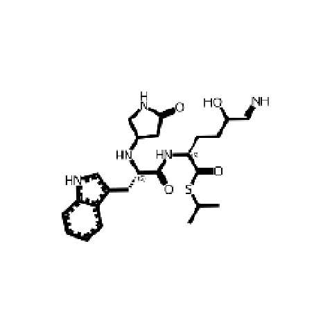 CC(C)SC(=O)[C@H](CCC(O)C=N)NC(=O)[C@H](Cc1c[nH]c2ccccc12)NC1CNC(=O)C1